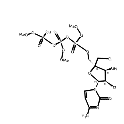 COOP(=O)(O)OP(=O)(OOC)OP(=O)(OC[C@@]1(CCl)O[C@@H](n2ccc(N)nc2=O)[C@H](Cl)[C@@H]1O)OOC